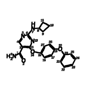 NC(=O)c1cnc(NC2CCC2)nc1Oc1ccc(Oc2ccccc2)cc1